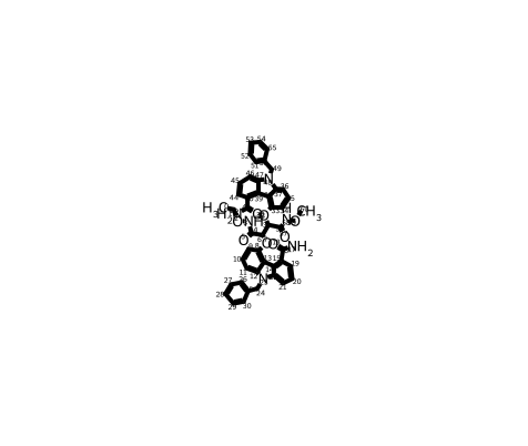 CCONC(=O)C(Oc1cccc2c1c1c(C(N)=O)cccc1n2Cc1ccccc1)C(Oc1cccc2c1c1c(C(N)=O)cccc1n2Cc1ccccc1)C(=O)NOC